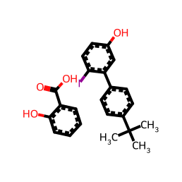 CC(C)(C)c1ccc(-c2cc(O)ccc2I)cc1.O=C(O)c1ccccc1O